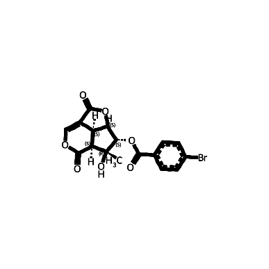 C[C@]1(O)[C@@H](OC(=O)c2ccc(Br)cc2)[C@H]2OC(=O)C3=COC(=O)[C@H]1[C@@H]32